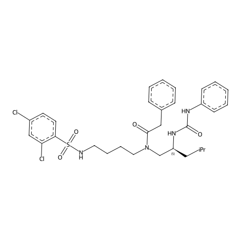 CC(C)C[C@@H](CN(CCCCNS(=O)(=O)c1ccc(Cl)cc1Cl)C(=O)Cc1ccccc1)NC(=O)Nc1ccccc1